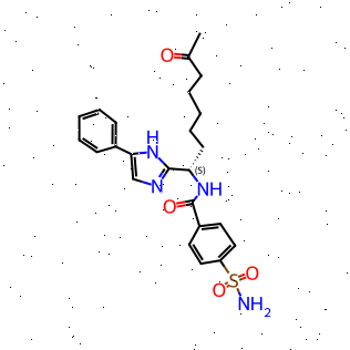 CC(=O)CCCCC[C@H](NC(=O)c1ccc(S(N)(=O)=O)cc1)c1ncc(-c2ccccc2)[nH]1